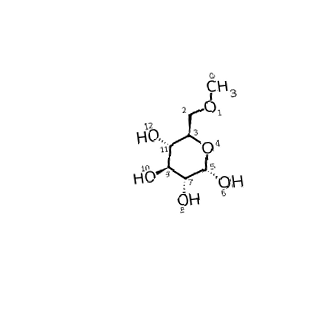 COC[C@H]1O[C@H](O)[C@H](O)[C@@H](O)[C@@H]1O